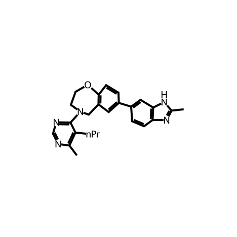 CCCc1c(C)ncnc1N1CCOc2ccc(-c3ccc4nc(C)[nH]c4c3)cc2C1